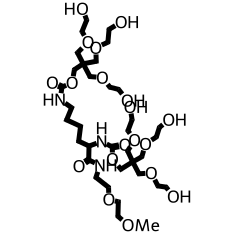 COCCOCCNC(=O)C(CCCCNC(=O)OCC(COCCO)(COCCO)COCCO)NC(=O)OCC(COCCO)(COCCO)COCCO